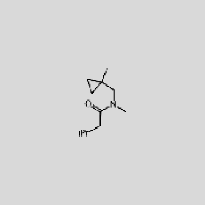 CC(C)CC(=O)N(C)CC1(C)CC1